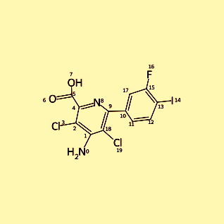 Nc1c(Cl)c(C(=O)O)nc(-c2ccc(I)c(F)c2)c1Cl